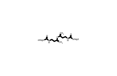 C=C(CCNC(=O)CCCCCCC)OC(=C)CCNC(=O)CCCCCCC